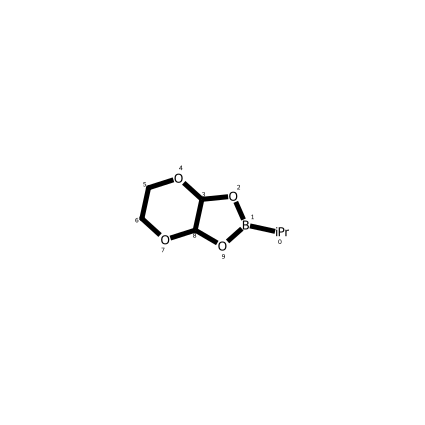 CC(C)B1OC2OCCOC2O1